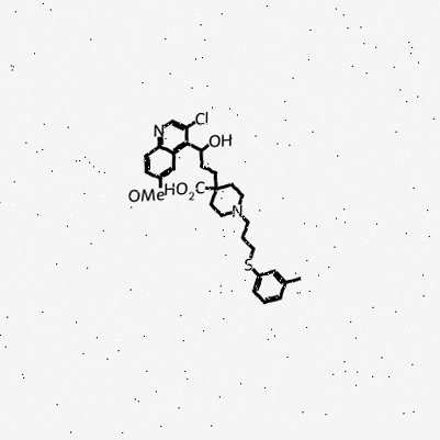 COc1ccc2ncc(Cl)c(C(O)CCC3(C(=O)O)CCN(CCCSc4cccc(C)c4)CC3)c2c1